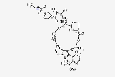 C/C=C/S(=O)(=O)N1CC[C@H](C(=O)N(C)[C@H](C(=O)N[C@H]2Cc3nc(cs3)-c3ccc4c(c3)c(c(-c3cccnc3[C@H](C)OC)n4C)CC(C)(C)COC(=O)[C@@H]3CCCN(N3)C2=O)C(C)C)C1